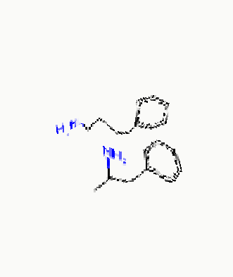 CC(N)Cc1ccccc1.NCCCc1ccccc1